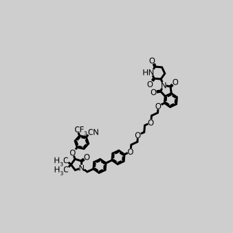 CC1(C)CN(Cc2ccc(-c3ccc(OCCOCCOCCOc4cccc5c4C(=O)N(C4CCC(=O)NC4=O)C5=O)cc3)cc2)C(=O)C1Oc1ccc(C#N)c(C(F)(F)F)c1